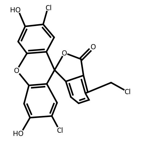 O=C1OC2(c3cc(Cl)c(O)cc3Oc3cc(O)c(Cl)cc32)c2cccc(CCl)c21